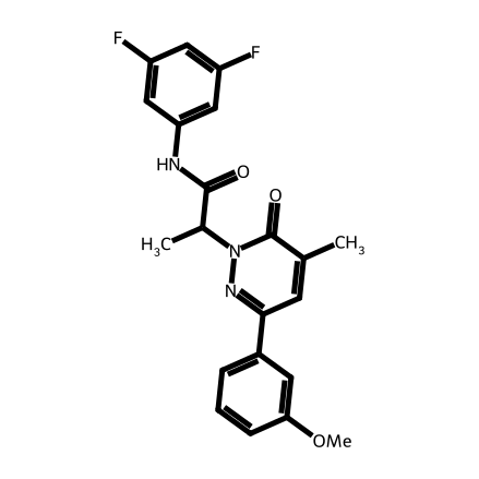 COc1cccc(-c2cc(C)c(=O)n(C(C)C(=O)Nc3cc(F)cc(F)c3)n2)c1